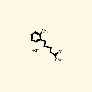 COC(=O)CCCCc1ccccc1N.Cl